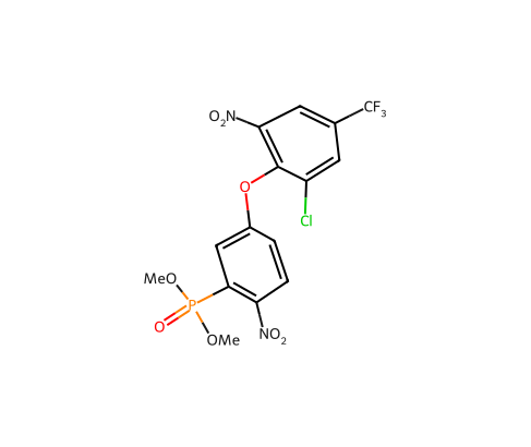 COP(=O)(OC)c1cc(Oc2c(Cl)cc(C(F)(F)F)cc2[N+](=O)[O-])ccc1[N+](=O)[O-]